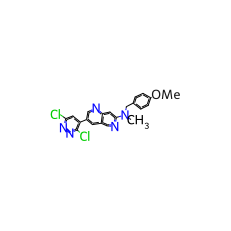 COc1ccc(CN(C)c2cc3ncc(-c4cc(Cl)nnc4Cl)cc3cn2)cc1